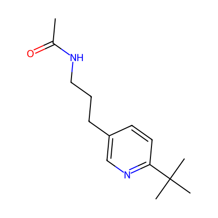 CC(=O)NCCCc1ccc(C(C)(C)C)nc1